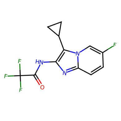 O=C(Nc1nc2ccc(F)cn2c1C1CC1)C(F)(F)F